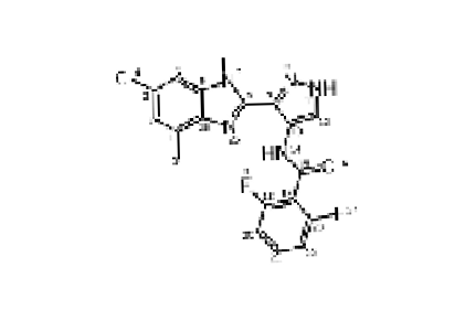 Cc1cc(Cl)cc2[nH]c(-c3n[nH]cc3NC(=O)c3c(F)cccc3F)nc12